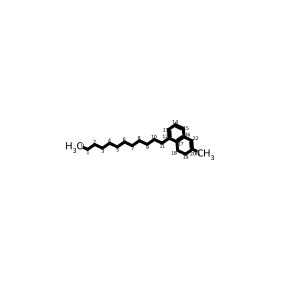 CCCCCCCCCCCCc1cccc2c1CCC(C)=C2